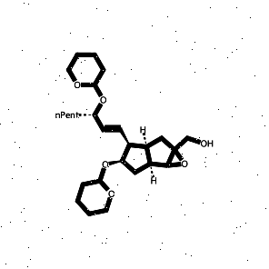 CCCCC[C@@H](/C=C/[C@H]1[C@H]2CC3(CO)OC3[C@H]2C[C@H]1OC1CCCCO1)OC1CCCCO1